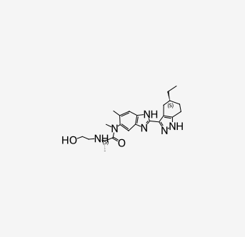 CC[C@H]1CCc2[nH]nc(-c3nc4cc(N(C)C(=O)[C@H](C)NCCO)c(C)cc4[nH]3)c2C1